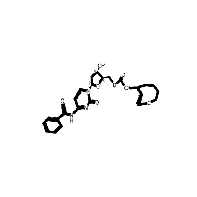 O=C(OC[C@H]1O[C@@H](n2ccc(NC(=O)c3ccccc3)nc2=O)C[C@@H]1O)OC1/C=C/CCCCC1